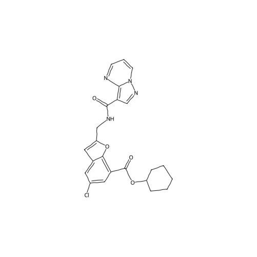 O=C(OC1CCCCC1)c1cc(Cl)cc2cc(CNC(=O)c3cnn4cccnc34)oc12